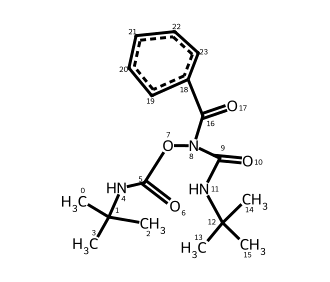 CC(C)(C)NC(=O)ON(C(=O)NC(C)(C)C)C(=O)c1ccccc1